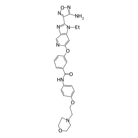 CCn1c(-c2nonc2N)nc2cnc(Oc3cccc(C(=O)Nc4ccc(OCCN5CCOCC5)cc4)c3)cc21